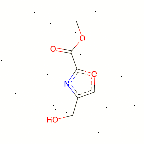 COC(=O)c1nc(CO)co1